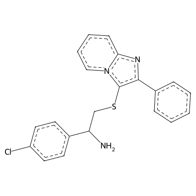 NC(CSc1c(-c2ccccc2)nc2ccccn12)c1ccc(Cl)cc1